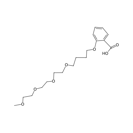 COCCOCCOCCOCCCCOc1ccccc1C(=O)O